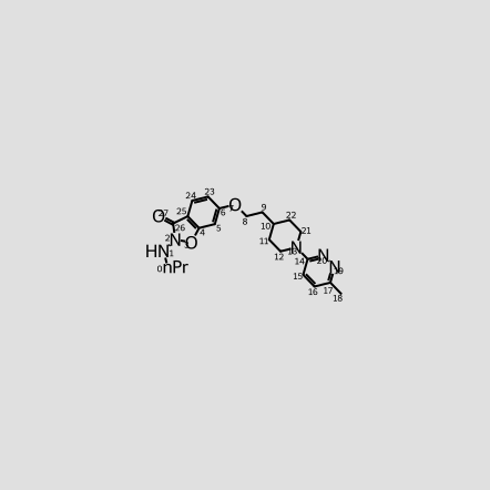 CCCNn1oc2cc(OCCC3CCN(c4ccc(C)nn4)CC3)ccc2c1=O